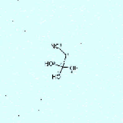 N#CCC(O)(O)O